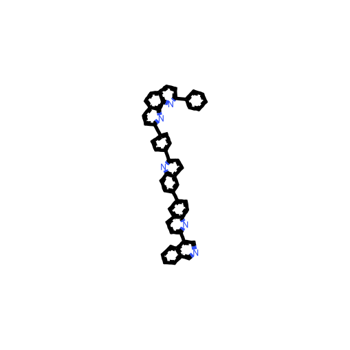 c1ccc(-c2ccc3ccc4ccc(-c5ccc(-c6ccc7cc(-c8ccc9nc(-c%10cncc%11ccccc%10%11)ccc9c8)ccc7n6)cc5)nc4c3n2)cc1